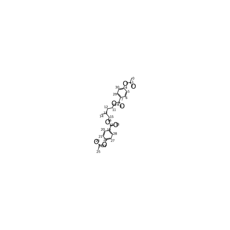 CC(=O)Oc1ccc(C(=O)OCCC(C)COC(=O)c2ccc(OC(C)=O)cc2)cc1